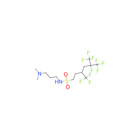 CN(C)CCCNS(=O)(=O)CCC(CC(F)(C(F)(F)F)C(F)(F)F)C(F)(F)F